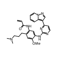 C=CC(=O)Nc1cc(Nc2nccc(-c3cnn4ccccc34)n2)c(OC)cc1CCCN(C)C